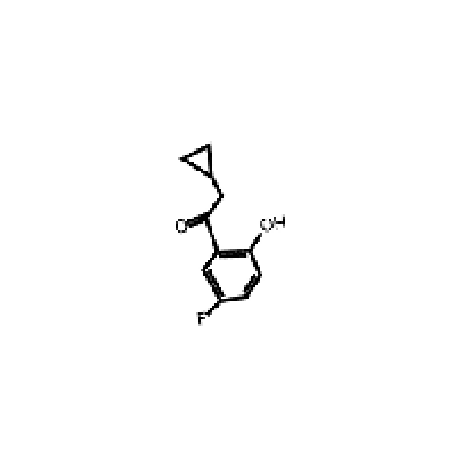 O=C(CC1CC1)c1cc(F)ccc1O